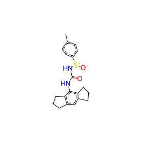 Cc1ccc([S+]([O-])NC(=O)Nc2c3c(cc4c2CCC4)CCC3)cc1